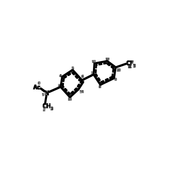 CC(=O)N(C)c1ccc(-c2ccc(C(F)(F)F)cc2)cc1